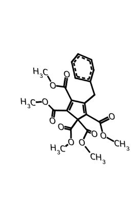 COC(=O)C1=C(C(=O)OC)C(C(=O)OC)(C(=O)OC)C(C(=O)OC)=C1Cc1ccccc1